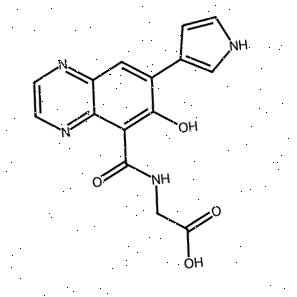 O=C(O)CNC(=O)c1c(O)c(-c2cc[nH]c2)cc2nccnc12